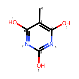 Cc1c(O)nc(O)nc1O